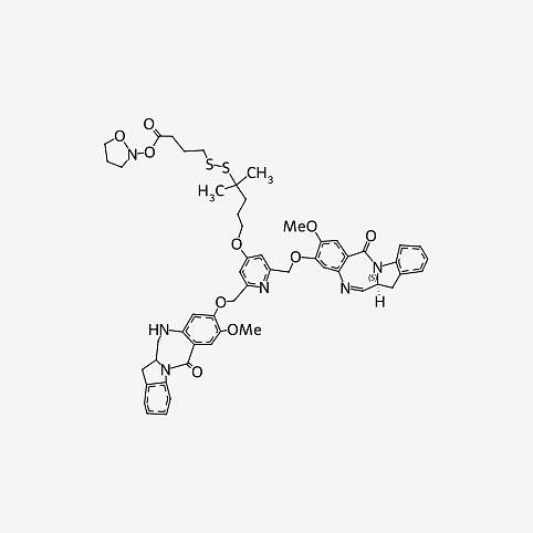 COc1cc2c(cc1OCc1cc(OCCCC(C)(C)SSCCCC(=O)ON3CCCO3)cc(COc3cc4c(cc3OC)C(=O)N3c5ccccc5CC3CN4)n1)N=C[C@@H]1Cc3ccccc3N1C2=O